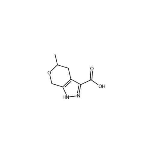 CC1Cc2c(C(=O)O)n[nH]c2CO1